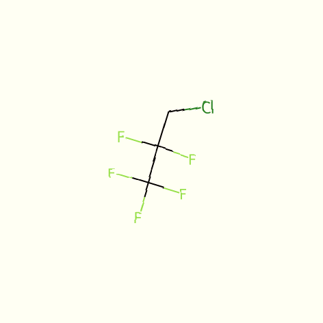 FC(F)(F)C(F)(F)CCl